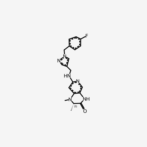 C[C@H]1C(=O)Nc2cnc(NCc3cnn(Cc4ccc(F)cc4)c3)cc2N1C